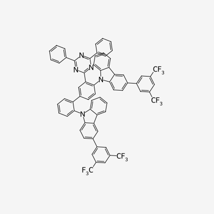 FC(F)(F)c1cc(-c2ccc3c(c2)c2ccccc2n3-c2ccccc2-c2ccc(-n3c4ccccc4c4cc(-c5cc(C(F)(F)F)cc(C(F)(F)F)c5)ccc43)c(-c3nc(-c4ccccc4)nc(-c4ccccc4)n3)c2)cc(C(F)(F)F)c1